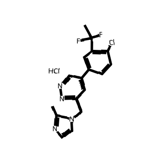 Cc1nccn1Cc1cc(-c2ccc(Cl)c(C(C)(F)F)c2)cnn1.Cl